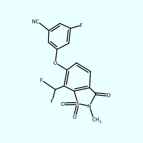 CN1C(=O)c2ccc(Oc3cc(F)cc(C#N)c3)c(C(F)F)c2S1(=O)=O